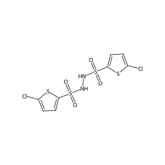 O=S(=O)(NNS(=O)(=O)c1ccc(Cl)s1)c1ccc(Cl)s1